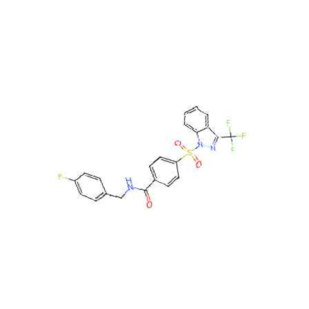 O=C(NCc1ccc(F)cc1)c1ccc(S(=O)(=O)n2nc(C(F)(F)F)c3ccccc32)cc1